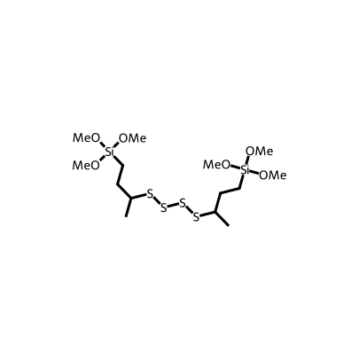 CO[Si](CCC(C)SSSSC(C)CC[Si](OC)(OC)OC)(OC)OC